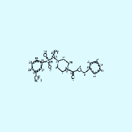 CC(C)N(C1CCN(C(=O)OCc2ccccc2)CC1)S(=O)(=O)c1cccc(C(F)(F)F)c1